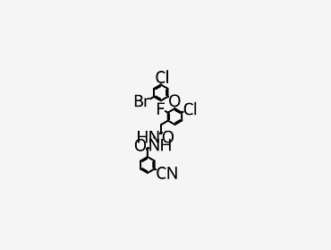 N#Cc1cccc(C(=O)NNC(=O)Cc2ccc(Cl)c(Oc3cc(Cl)cc(Br)c3)c2F)c1